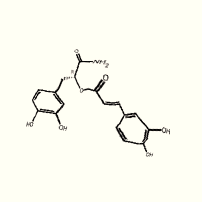 NC(=O)[C@@H](Cc1ccc(O)c(O)c1)OC(=O)C=Cc1ccc(O)c(O)c1